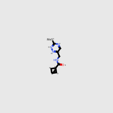 CSc1ncc(CNC(=O)C23CC(C2)C3)nn1